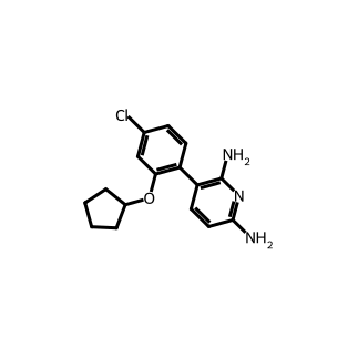 Nc1ccc(-c2ccc(Cl)cc2OC2CCCC2)c(N)n1